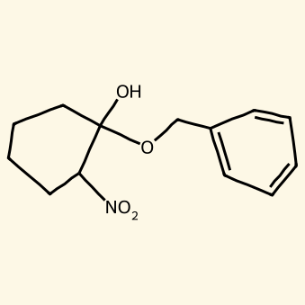 O=[N+]([O-])C1CCCCC1(O)OCc1ccccc1